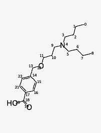 CCCCN(CCCC)CCCOCc1ccc(C(=O)O)cc1